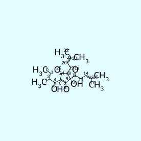 CCC(C)C(=O)C1=C(O)C(O)(C(=O)CC=C(C)C)C(CC=C(C)C)C1=O